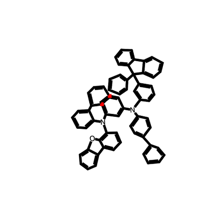 c1ccc(-c2ccc(N(c3cccc(N(c4ccccc4-c4ccccc4)c4cccc5c4oc4ccccc45)c3)c3cccc(C4(c5ccccc5)c5ccccc5-c5ccccc54)c3)cc2)cc1